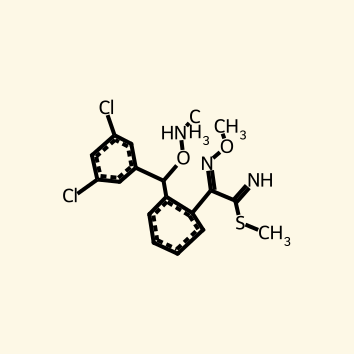 CNOC(c1cc(Cl)cc(Cl)c1)c1ccccc1/C(=N/OC)C(=N)SC